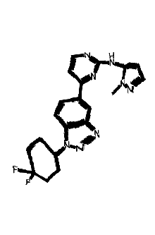 Cn1nccc1Nc1nccc(-c2ccc3c(c2)nnn3C2CCC(F)(F)CC2)n1